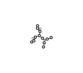 c1ccc(-c2ccc(N(c3ccc(-c4ccccc4)cc3)c3ccc(-c4cc(-c5ccc6oc7c8ccccc8ccc7c6c5)cc(-c5ccc6oc7c8ccccc8ccc7c6c5)c4)cc3)cc2)cc1